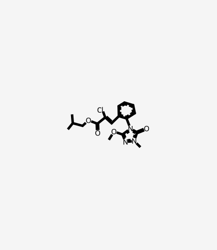 COc1nn(C)c(=O)n1-c1ccccc1C=C(Cl)C(=O)OCC(C)C